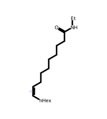 CCCCCC/C=C\CCCCCCCC(=O)NCC